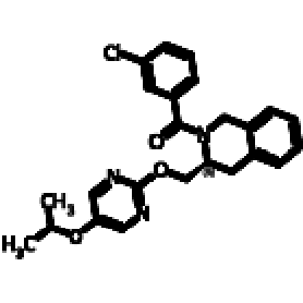 CC(C)Oc1cnc(OC[C@@H]2Cc3ccccc3CN2C(=O)c2cccc(Cl)c2)nc1